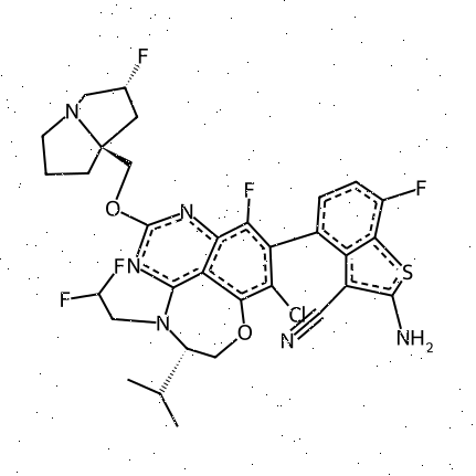 CC(C)[C@H]1COc2c(Cl)c(-c3ccc(F)c4sc(N)c(C#N)c34)c(F)c3nc(OC[C@@]45CCCN4C[C@H](F)C5)nc(c23)N1CC(F)F